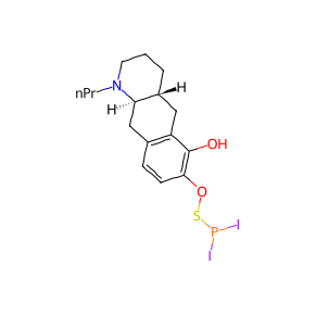 CCCN1CCC[C@@H]2Cc3c(ccc(OSP(I)I)c3O)C[C@H]21